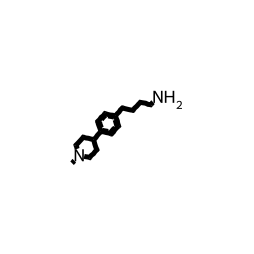 CN1CCC(c2ccc(CCCCN)cc2)CC1